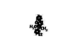 CCc1cccc(-n2c(C)c3cnn(-c4ccccn4)c(=O)c3c2C)c1